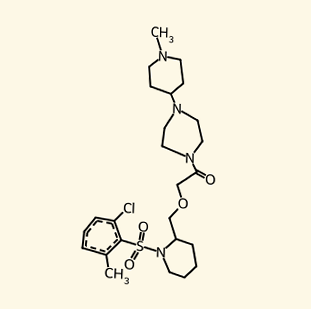 Cc1cccc(Cl)c1S(=O)(=O)N1CCCCC1COCC(=O)N1CCN(C2CCN(C)CC2)CC1